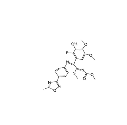 COC(=O)N=C(SC)C(=Nc1ccc(-c2noc(C)n2)cc1)c1cc(OC)c(OC)c(O)c1F